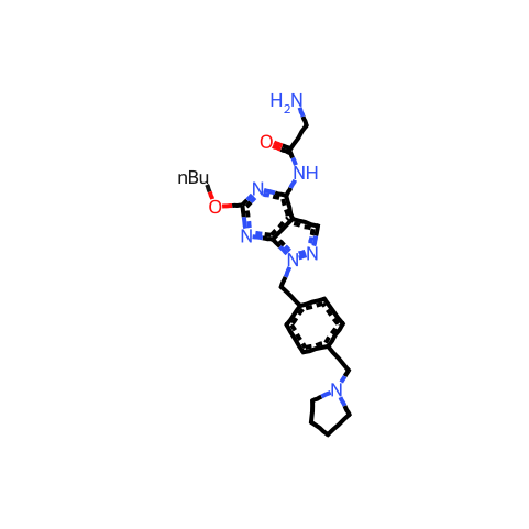 CCCCOc1nc(NC(=O)CN)c2cnn(Cc3ccc(CN4CCCC4)cc3)c2n1